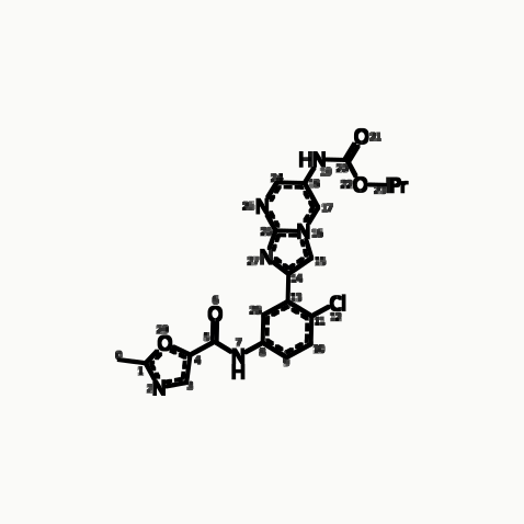 Cc1ncc(C(=O)Nc2ccc(Cl)c(-c3cn4cc(NC(=O)OC(C)C)cnc4n3)c2)o1